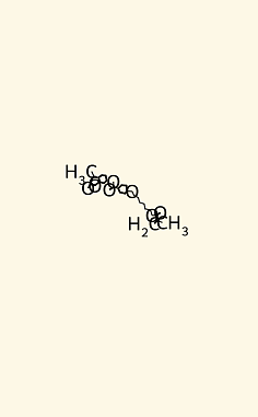 C=C(C)C(=O)OCCCCCCOc1ccc(C(=O)Oc2ccc3c(C)cc(=O)oc3c2)cc1